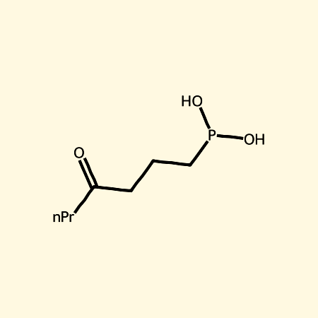 CCCC(=O)CCCP(O)O